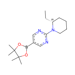 CC[C@@H]1CCCCN1c1ncc(B2OC(C)(C)C(C)(C)O2)cn1